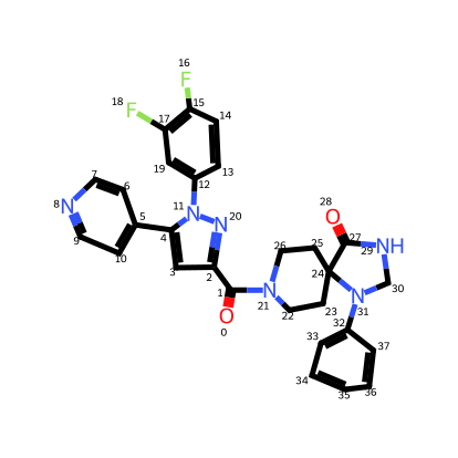 O=C(c1cc(-c2ccncc2)n(-c2ccc(F)c(F)c2)n1)N1CCC2(CC1)C(=O)NCN2c1ccccc1